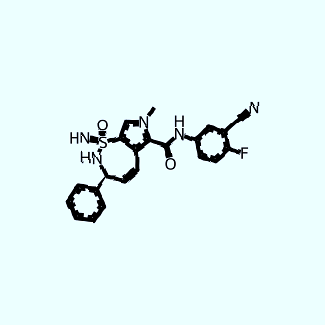 Cn1cc2c(c1C(=O)Nc1ccc(F)c(C#N)c1)C=C[C@@H](c1ccccc1)NS2(=N)=O